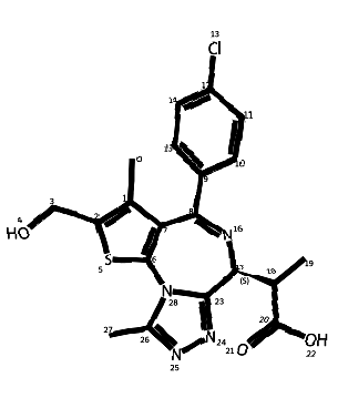 Cc1c(CO)sc2c1C(c1ccc(Cl)cc1)=N[C@@H](C(C)C(=O)O)c1nnc(C)n1-2